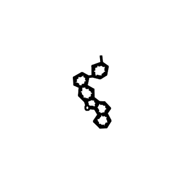 Cc1cccc(-c2cccc3cc4oc5c6ccccc6ccc5c4cc23)c1